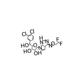 OC(c1ccc(Cl)c(Cl)c1)[C@H]1O[C@@H](N2C=CC3C(=NOCC(F)F)N=CNC32)[C@H](O)[C@@H]1O